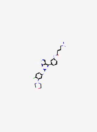 CN(C)C/C=C/C(=O)Nc1cccc(-c2nc(Nc3ccc(Cl)c(N4CCOCC4)c3)nc3[nH]ncc23)c1